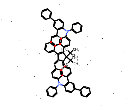 CC(C)(C)C1(C(C)(C)C)c2cc3cc(N(c4ccccc4)c4ccc(-c5ccccc5)cc4-c4ccccc4)ccc3cc2-c2c1c1ccc(N(c3ccccc3)c3ccc(-c4ccccc4)cc3-c3ccccc3)cc1c1ccccc21